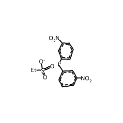 CCS(=O)(=O)[O-].O=[N+]([O-])c1cccc([I+]c2cccc([N+](=O)[O-])c2)c1